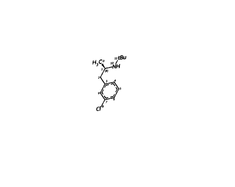 C[C@H](Cc1cccc(Cl)c1)NC(C)(C)C